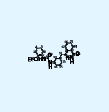 CCOc1ccccc1NC(=O)Nc1cccc(Cc2n[nH]c(=O)c3ccccc23)c1